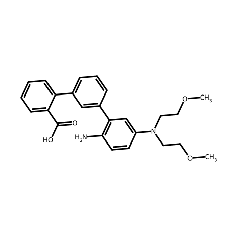 COCCN(CCOC)c1ccc(N)c(-c2cccc(-c3ccccc3C(=O)O)c2)c1